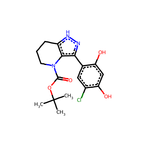 CC(C)(C)OC(=O)N1CCCc2[nH]nc(-c3cc(Cl)c(O)cc3O)c21